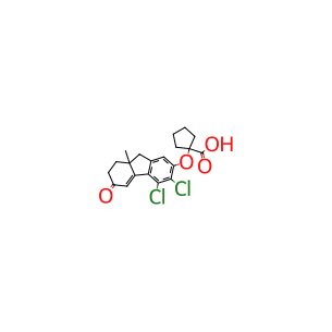 CC12CCC(=O)C=C1c1c(cc(OC3(C(=O)O)CCCC3)c(Cl)c1Cl)C2